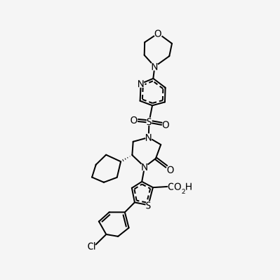 O=C(O)c1sc(C2=CCC(Cl)C=C2)cc1N1C(=O)CN(S(=O)(=O)c2ccc(N3CCOCC3)nc2)C[C@H]1C1CCCCC1